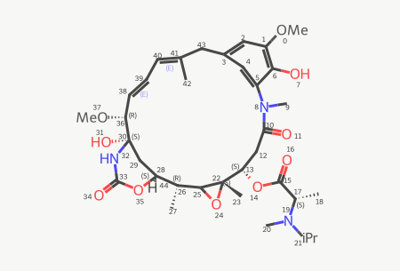 COc1cc2cc(c1O)N(C)C(=O)C[C@H](OC(=O)[C@H](C)N(C)C(C)C)[C@]1(C)OC1[C@H](C)[C@@H]1C[C@@](O)(NC(=O)O1)[C@H](OC)/C=C/C=C(\C)C2